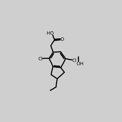 CCC1Cc2c(Cl)cc(CC(=O)O)c(Cl)c2C1.CO